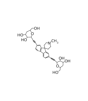 CN1CCC2(CC1)c1cc(C#CC3OC(CO)CC(O)C3O)ccc1-c1ccc(C#CC3OC(CO)CC(O)C3O)cc12